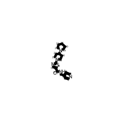 O=C(NCc1ccncc1)c1cnc(N2CCC(N3CCCCC3)CC2)s1